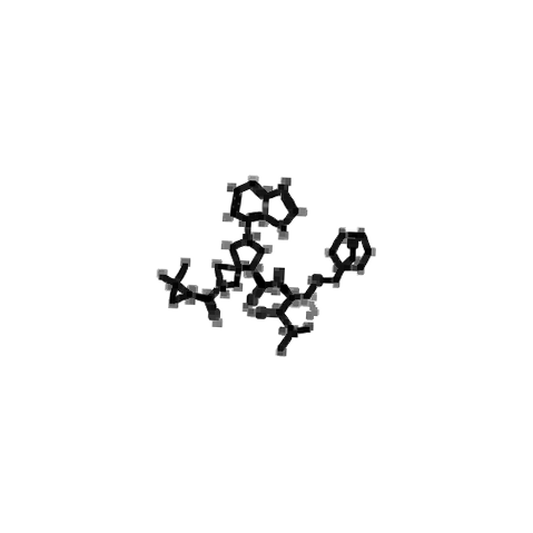 C[C@@H](OCC12CCC(CC1)OC2)[C@H](NC(=O)[C@@H]1CN(c2cccc3ncsc23)CC12CN(C(=O)[C@H]1CC1(C)C)C2)C(=O)N(C)C